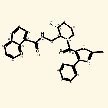 Cc1nc(-c2ccccc2)c(C(=O)N2CCC[C@@H](C)C2CNC(=O)c2cccc3cccnc23)s1